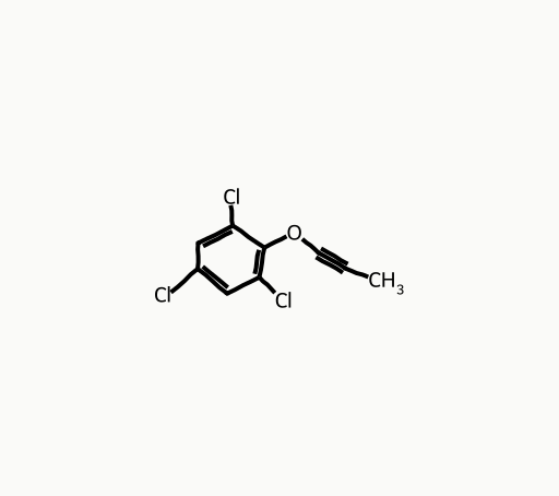 CC#COc1c(Cl)cc(Cl)cc1Cl